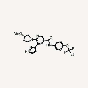 CCC(F)(F)Oc1ccc(NC(=O)c2cnc(N3CC[C@@H](OC)C3)c(-c3cc[nH]n3)c2)cc1